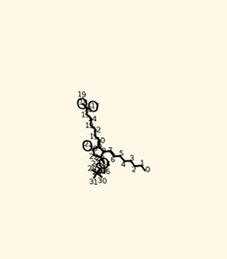 CCCCCCC=CC1C(=CCCCCCC(=O)OC)C(=O)CC1O[Si](C)(C)C(C)(C)C